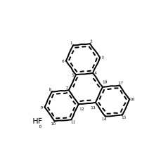 F.c1ccc2c(c1)c1ccccc1c1ccccc21